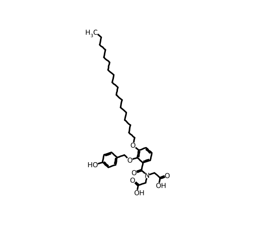 CCCCCCCCCCCCCCCCCCOc1cccc(C(=O)N(CC(=O)O)CC(=O)O)c1OCc1ccc(O)cc1